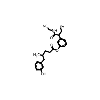 CC(C)CC(C(=O)NCC#N)c1cccc(OC(=O)CCC(C)Cc2cccc(O)c2)c1